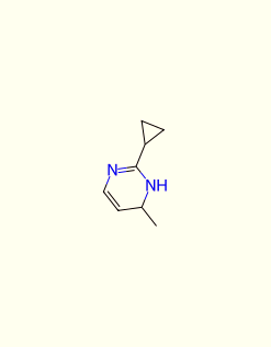 CC1C=CN=C(C2CC2)N1